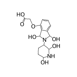 O=C(O)COc1cccc2c1C(O)N(C1CCC(O)NC1O)C2O